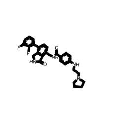 O=C(Nc1ccc(-c2cccc(F)c2F)c2c1C(=O)NC2)c1ccc(NCCN2CCCC2)cc1